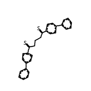 S=C(CCCC(=S)c1ccc(-c2ccccc2)cc1)c1ccc(-c2ccccc2)cc1